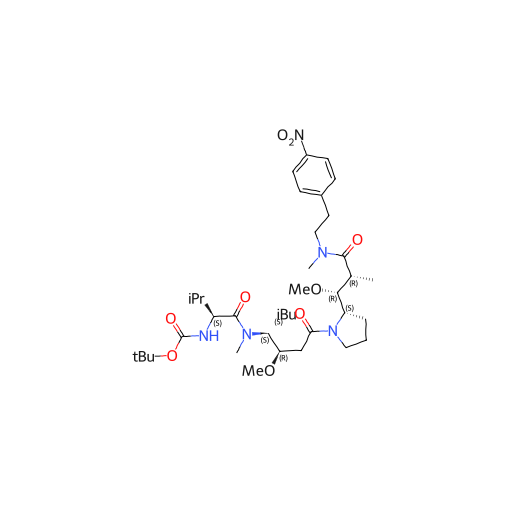 CC[C@H](C)[C@@H]([C@@H](CC(=O)N1CCC[C@H]1[C@H](OC)[C@@H](C)C(=O)N(C)CCc1ccc([N+](=O)[O-])cc1)OC)N(C)C(=O)[C@@H](NC(=O)OC(C)(C)C)C(C)C